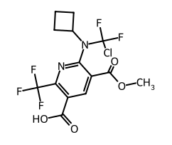 COC(=O)c1cc(C(=O)O)c(C(F)(F)F)nc1N(C1CCC1)C(F)(F)Cl